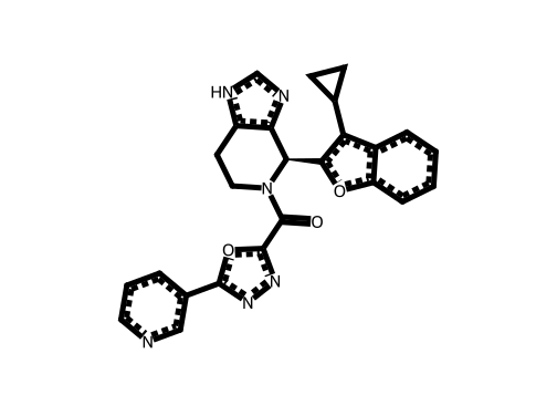 O=C(c1nnc(-c2cccnc2)o1)N1CCc2[nH]cnc2[C@H]1c1oc2ccccc2c1C1CC1